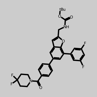 CC(C)(C)OC(=O)NCc1cc2cc(-c3ccc(C(=O)N4CCC(F)(F)CC4)cc3)cc(-c3cc(F)cc(F)c3)c2o1